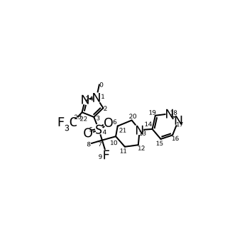 Cn1cc(S(=O)(=O)C(C)(F)C2CCN(c3ccnnc3)CC2)c(C(F)(F)F)n1